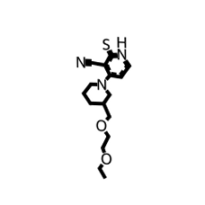 CCOCCOCC1CCCN(c2cc[nH]c(=S)c2C#N)C1